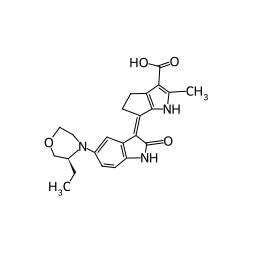 CC[C@H]1COCCN1c1ccc2c(c1)/C(=C1\CCc3c1[nH]c(C)c3C(=O)O)C(=O)N2